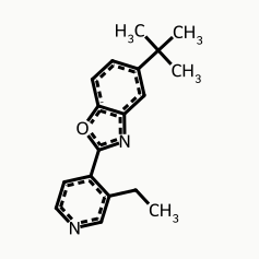 CCc1cnccc1-c1nc2cc(C(C)(C)C)ccc2o1